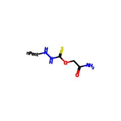 CCCCCNNC(=S)OCC(N)=O